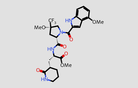 COC(=O)[C@H](C[C@@H]1CCCNC1=O)NC(=O)[C@@H]1C[C@@](OC)(C(F)(F)F)CN1C(=O)c1cc2c(OC)cccc2[nH]1